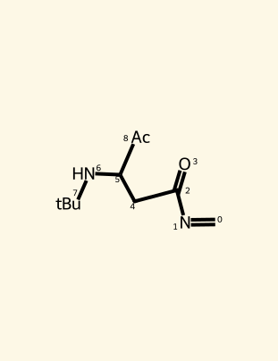 C=NC(=O)CC(NC(C)(C)C)C(C)=O